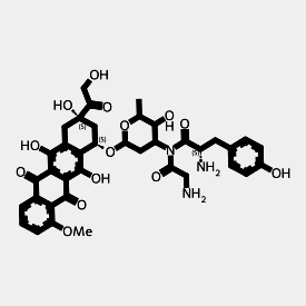 COc1cccc2c1C(=O)c1c(O)c3c(c(O)c1C2=O)C[C@@](O)(C(=O)CO)C[C@@H]3OC1CC(N(C(=O)CN)C(=O)[C@@H](N)Cc2ccc(O)cc2)C(O)C(C)O1